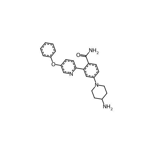 NC(=O)c1ccc(N2CCC(N)CC2)cc1-c1ccc(Oc2ccccc2)cn1